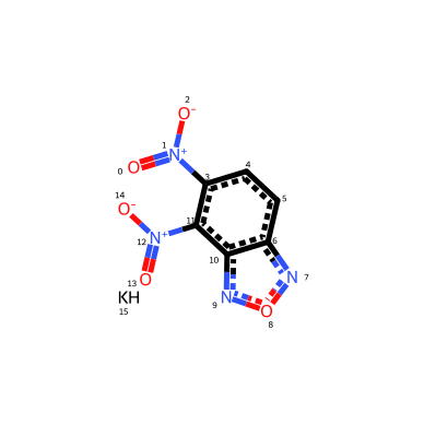 O=[N+]([O-])c1ccc2nonc2c1[N+](=O)[O-].[KH]